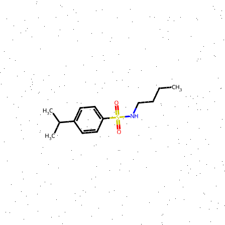 CCCCNS(=O)(=O)c1ccc(C(C)C)cc1